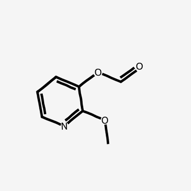 COc1ncccc1OC=O